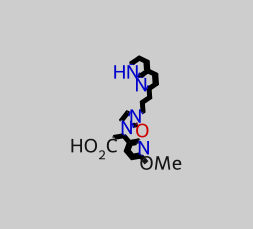 COc1ccc(C(CC(=O)O)N2CCN(CCCC3C=CC4=CCCNC4=N3)C2=O)cn1